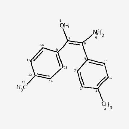 Cc1ccc(/C(N)=C(/O)c2ccc(C)cc2)cc1